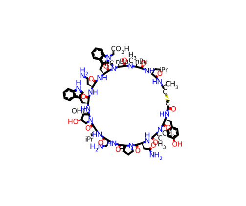 CCCC[C@H]1C(=O)N(C)[C@@H](CCCC)C(=O)N[C@@H](CC(C)C)C(=O)N[C@H](C)CSCC(=O)N[C@@H](Cc2ccc(O)cc2)C(=O)N(C)[C@@H](C)C(=O)N[C@@H](CC(N)=O)C(=O)N2CCC[C@@H]2C(=O)N[C@@H](CN)C(=O)N[C@H](CC(C)C)C(=O)N2C[C@@H](O)CC2(C=O)N[C@@H](Cc2c[nH]c3ccccc23)C(=O)N[C@@H](CCN)C(=O)N[C@@H](Cc2cn(CC(=O)O)c3ccccc23)C(=O)N1C